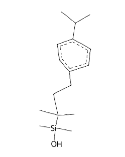 CC(C)c1ccc(CCC(C)(C)[Si](C)(C)O)cc1